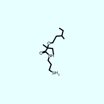 CCC(C)CCOC(C)(CC)C(=O)NCCC[SiH3]